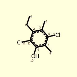 CCc1c(C)c(Cl)c(C)c(O)c1Cl